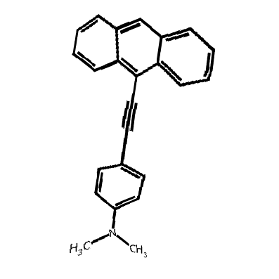 CN(C)c1ccc(C#Cc2c3ccccc3cc3ccccc23)cc1